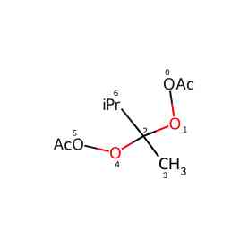 CC(=O)OOC(C)(OOC(C)=O)C(C)C